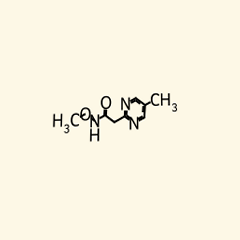 CONC(=O)Cc1ncc(C)cn1